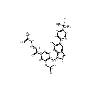 Cc1cc2c(cnn2[C@H](CC(C)C)c2ccc(C(=O)NCCC(=O)O)cc2)cc1-c1ccc(C(F)(F)F)cc1